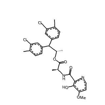 COc1ccnc(C(=O)N[C@@H](C)C(=O)O[C@@H](C)C(c2ccc(C)c(Cl)c2)c2ccc(C)c(Cl)c2)c1O